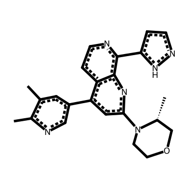 Cc1cc(-c2cc(N3CCOC[C@H]3C)nc3c(-c4ccn[nH]4)nccc23)cnc1C